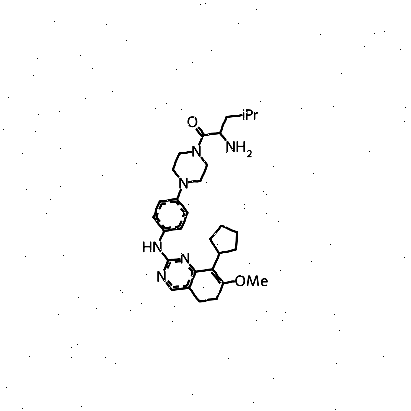 COC1=C(C2CCCC2)c2nc(Nc3ccc(N4CCN(C(=O)C(N)CC(C)C)CC4)cc3)ncc2CC1